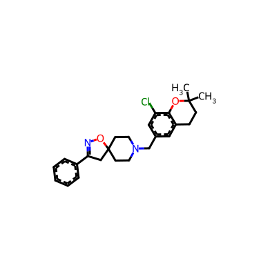 CC1(C)CCc2cc(CN3CCC4(CC3)CC(c3ccccc3)=NO4)cc(Cl)c2O1